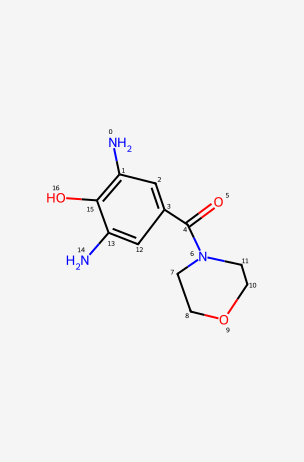 Nc1cc(C(=O)N2CCOCC2)cc(N)c1O